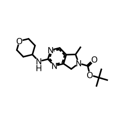 CC1c2cnc(NC3CCOCC3)nc2CN1C(=O)OC(C)(C)C